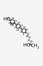 CC(O)CCC/C=C/c1ccc(-c2ccc(-c3ccc(O)cn3)cc2)cc1